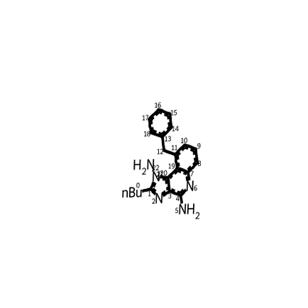 CCCCc1nc2c(N)nc3cccc(Cc4ccccc4)c3c2n1N